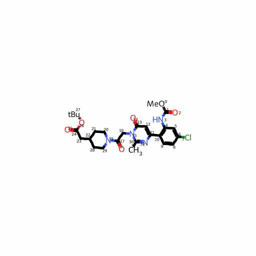 COC(=O)Nc1cc(Cl)ccc1-c1cc(=O)n(CC(=O)N2CCC(CC(=O)OC(C)(C)C)CC2)c(C)n1